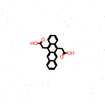 O=C(O)Cc1c2ccccc2c(CC(=O)O)c2cc3ccccc3cc12